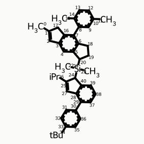 CC1=Cc2cc3c(c(-c4cc(C)ccc4C)c2C1)CCC3[Si](C)(C)C1C(C(C)C)=Cc2c(-c3ccc(C(C)(C)C)cc3)cccc21